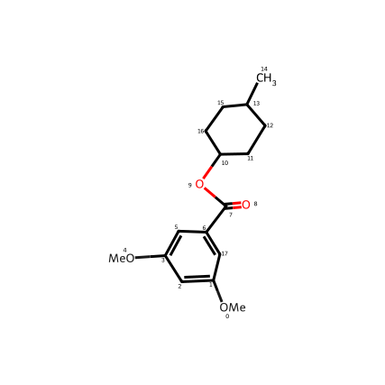 COc1cc(OC)cc(C(=O)OC2CCC(C)CC2)c1